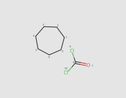 C1CCCCCC1.O=C(Cl)Cl